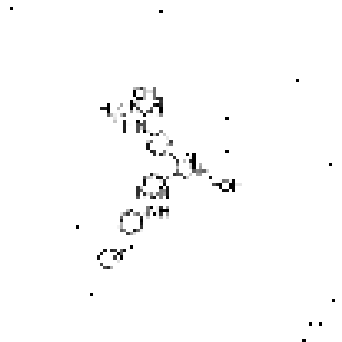 CN(C)C(=O)Nc1ccc(-c2nn(CCO)cc2-c2ccnc(Nc3cccc(CN4CCCC4)c3)n2)cc1